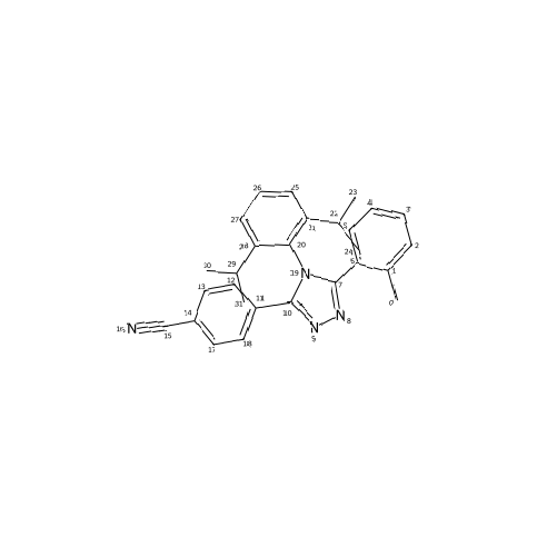 Cc1ccccc1-c1nnc(-c2ccc(C#N)cc2)n1-c1c(C(C)C)cccc1C(C)C